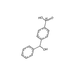 O=[PH](O)c1ccc(C(O)c2ccccc2)cc1